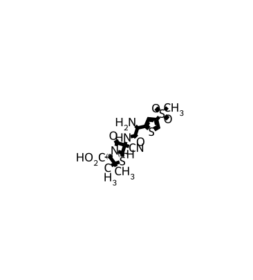 CC1(C)S[C@H]2N(C(=O)C2(C#N)NC(=O)C(N)c2cc(S(C)(=O)=O)cs2)[C@H]1C(=O)O